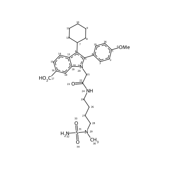 COc1ccc(-c2c(C3CCCCC3)c3ccc(C(=O)O)cc3n2CC(=O)NCCCCN(C)S(N)(=O)=O)cc1